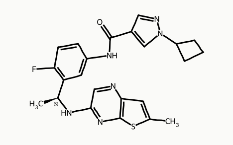 Cc1cc2ncc(N[C@@H](C)c3cc(NC(=O)c4cnn(C5CCC5)c4)ccc3F)nc2s1